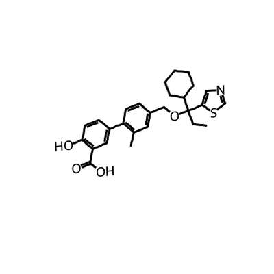 CCC(OCc1ccc(-c2ccc(O)c(C(=O)O)c2)c(C)c1)(c1cncs1)C1CCCCC1